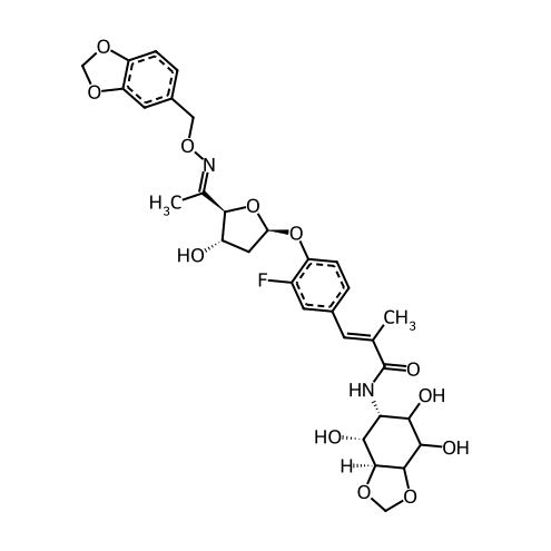 C/C(=C\c1ccc(O[C@H]2C[C@H](O)[C@@H](/C(C)=N/OCc3ccc4c(c3)OCO4)O2)c(F)c1)C(=O)N[C@@H]1C(O)C(O)C2OCO[C@H]2[C@@H]1O